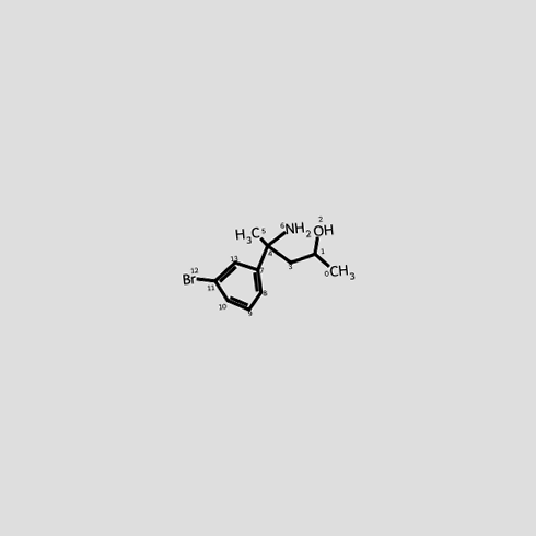 CC(O)CC(C)(N)c1cccc(Br)c1